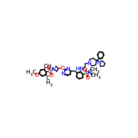 COc1cc(C)c(S(=O)(=O)N2CC(Oc3nccc(Cc4cccc(S(=O)(=O)N(C)C)c4NCCN4CCC(c5ccccc5)(N5CCCC5)CC4)n3)C2)c(C)c1